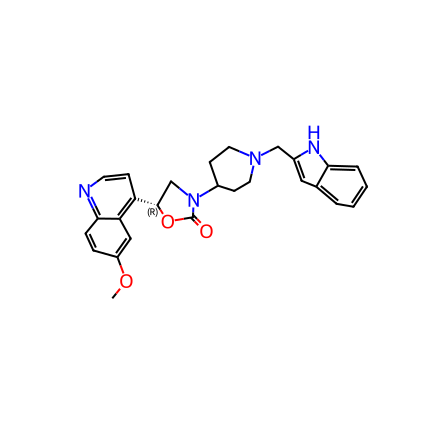 COc1ccc2nccc([C@@H]3CN(C4CCN(Cc5cc6ccccc6[nH]5)CC4)C(=O)O3)c2c1